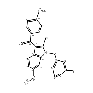 [CH2]c1cccc(Cn2c(C)c(C(=O)c3ccc(OC)cc3)c3ccc(OC(F)(F)F)cc32)c1